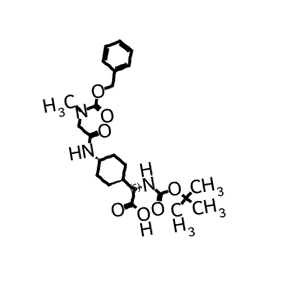 CN(CC(=O)N[C@H]1CC[C@H]([C@H](NC(=O)OC(C)(C)C)C(=O)O)CC1)C(=O)OCc1ccccc1